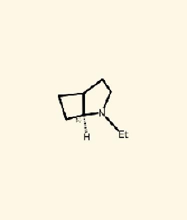 CCN1CCC2CC[C@@H]21